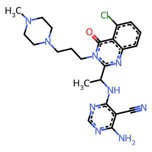 CC(Nc1ncnc(N)c1C#N)c1nc2cccc(Cl)c2c(=O)n1CCCN1CCN(C)CC1